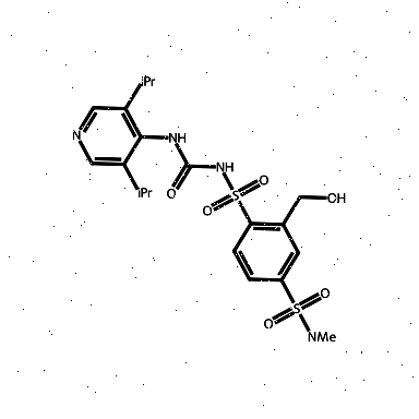 CNS(=O)(=O)c1ccc(S(=O)(=O)NC(=O)Nc2c(C(C)C)cncc2C(C)C)c(CO)c1